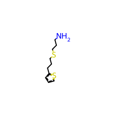 NCCCSCCCc1cccs1